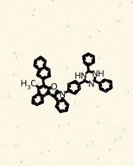 Cc1c(-c2ccc3ccccc3c2)c2oc3c(c4ccccc4n3-c3ccc(C4N=C(c5ccccc5)NC(c5ccccc5)N4)cc3)c2c2ccccc12